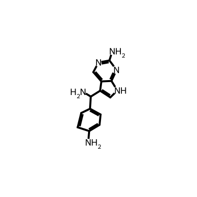 Nc1ccc(C(N)c2c[nH]c3nc(N)ncc23)cc1